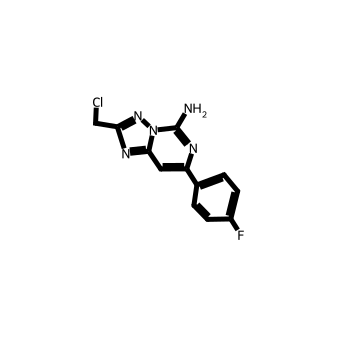 Nc1nc(-c2ccc(F)cc2)cc2nc(CCl)nn12